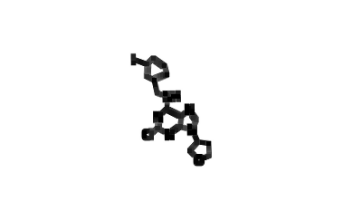 Clc1nc(NCc2cccc(I)c2)c2ncn(C3CCOC3)c2n1